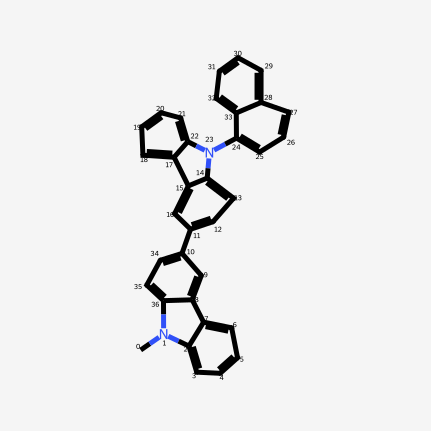 Cn1c2ccccc2c2cc(-c3ccc4c(c3)c3ccccc3n4-c3cccc4ccccc34)ccc21